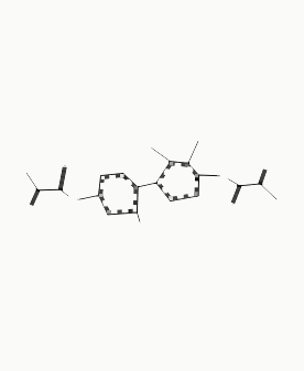 C=C(C)C(=O)Oc1ccc(-c2ccc(OC(=O)C(=C)C)c(C)c2F)c(F)c1